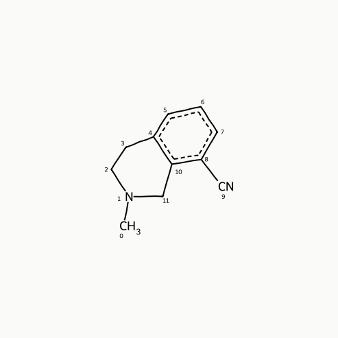 CN1CCc2cccc(C#N)c2C1